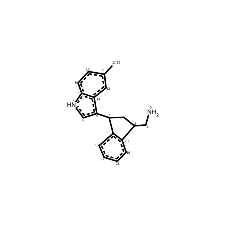 NCC1CC(c2c[nH]c3ccc(F)cc23)c2ccccc21